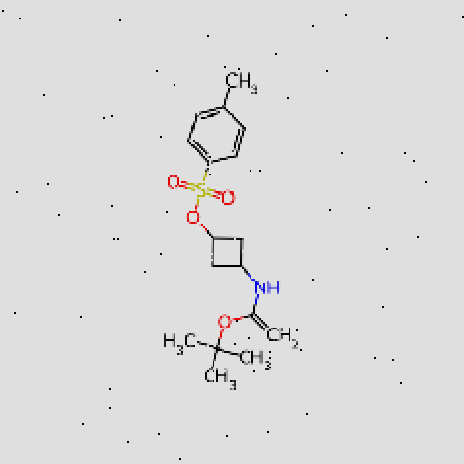 C=C(NC1CC(OS(=O)(=O)c2ccc(C)cc2)C1)OC(C)(C)C